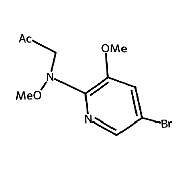 COc1cc(Br)cnc1N(CC(C)=O)OC